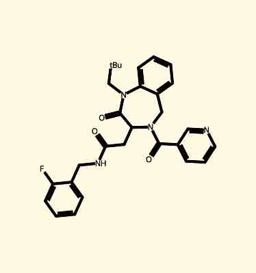 CC(C)(C)CN1C(=O)C(CC(=O)NCc2ccccc2F)N(C(=O)c2cccnc2)Cc2ccccc21